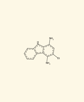 CCc1cc(N)c2[nH]c3ccccc3c2c1N